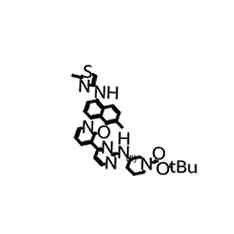 Cc1nc(Nc2cccc3c(Oc4ncccc4-c4ccnc(N[C@H]5CCCN(C(=O)OC(C)(C)C)C5)n4)c(C)ccc23)cs1